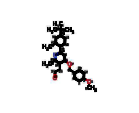 COc1ccc(COc2cc(-c3ccc(C(C)(C)C)cc3C)nc(C)c2CC=O)cc1